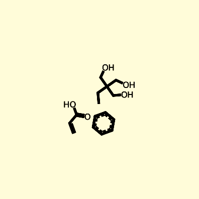 C=CC(=O)O.CCC(CO)(CO)CO.c1ccccc1